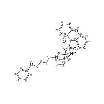 O=C(O[C@H]1C[N+]2(CCCCOc3ccccc3)CCC1CC2)C1(O)c2ccccc2Oc2ccccc21